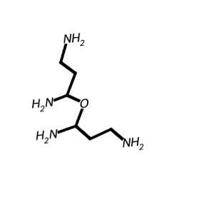 NCCC(N)OC(N)CCN